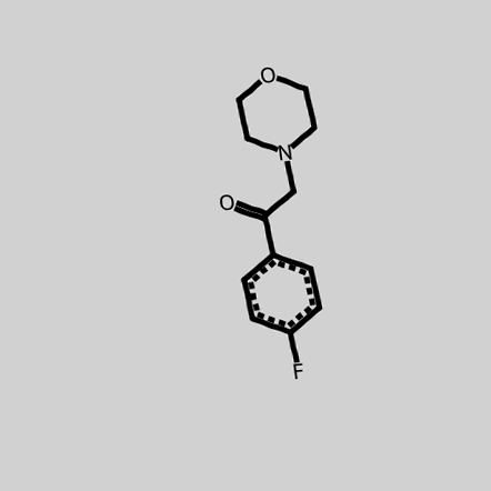 O=C(CN1CCOCC1)c1ccc(F)cc1